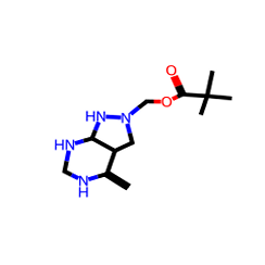 C=C1NCNC2NN(COC(=O)C(C)(C)C)CC12